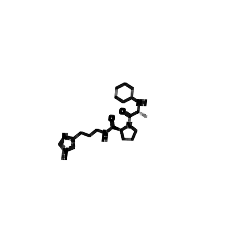 C[C@@H](NC1CCCCC1)C(=O)N1CCC[C@H]1C(=O)NCCCc1c[nH]cn1